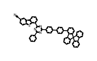 N#Cc1ccc2sc3c(-c4nc(-c5ccccc5)nc(-c5ccc(-c6ccc(-c7cccc8c7-c7ccccc7C87c8ccccc8-c8ccccc87)cc6)cc5)n4)cccc3c2c1